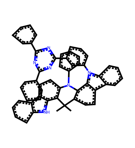 CC1(C)c2ccc3c4ccccc4n(-c4cccc(-c5nc(-c6ccccc6)nc(-c6ccccc6)n5)c4)c3c2N(c2ccccc2)c2ccc3c([nH]c4ccccc43)c21